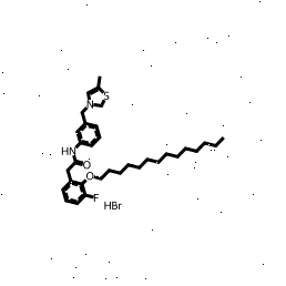 Br.CCCCCCCCCCCCCCOc1c(F)cccc1CC(=O)Nc1cccc(CN2C=C(C)SC2)c1